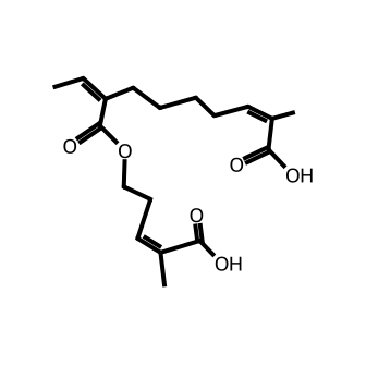 CC=C(CCCCC=C(C)C(=O)O)C(=O)OCCC=C(C)C(=O)O